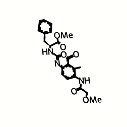 COCC(=O)Nc1ccc2nc(N[C@@H](Cc3ccccc3)C(=O)OC)oc(=O)c2c1C